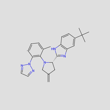 C=C1C[C@@H](c2nc3cc(C(C)(C)C)ccc3[nH]2)N(c2c(-n3nccn3)[c]ccc2C)C1